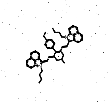 CCCCn1/c(=C/C=C2\CC(C)CC(/C=C/C3=[N+](CCCC)c4cccc5cccc3c45)=C2c2ccc(CC)cc2)c2cccc3cccc1c32